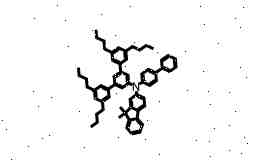 CCCCc1cc(CCCC)cc(-c2cc(-c3cc(CCCC)cc(CCCC)c3)cc(N(c3ccc(-c4ccccc4)cc3)c3ccc4c(c3)C(C)(C)c3ccccc3-4)c2)c1